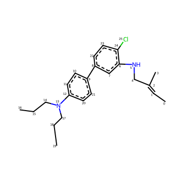 C/C=C(\C)CNc1cc(-c2ccc(N(CCC)CCC)cc2)ccc1Cl